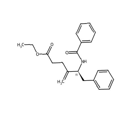 C=C(CCC(=O)OCC)[C@H](Cc1ccccc1)NC(=O)c1ccccc1